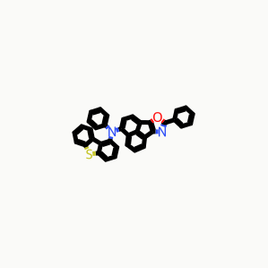 c1ccc(-c2nc3c(o2)-c2ccc(N(c4ccccc4)c4cccc5sc6ccccc6c45)c4cccc-3c24)cc1